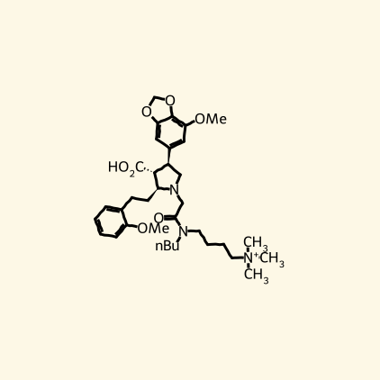 CCCCN(CCCC[N+](C)(C)C)C(=O)CN1C[C@H](c2cc(OC)c3c(c2)OCO3)[C@@H](C(=O)O)[C@@H]1CCc1ccccc1OC